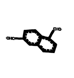 O=[C]c1ccc2c([C]=O)cccc2c1